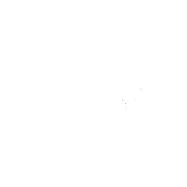 CCC(=O)NCCCCCc1ccc2ccccc2c1